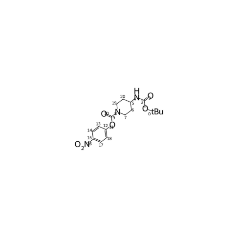 CC(C)(C)OC(=O)NC1CCN(C(=O)Oc2ccc([N+](=O)[O-])cc2)CC1